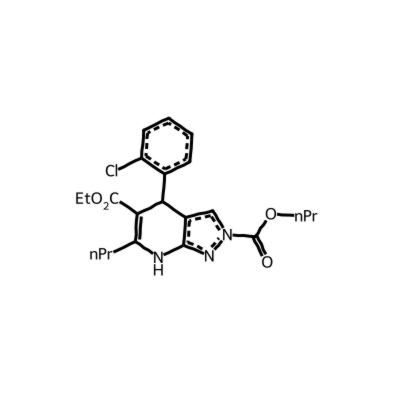 CCCOC(=O)n1cc2c(n1)NC(CCC)=C(C(=O)OCC)C2c1ccccc1Cl